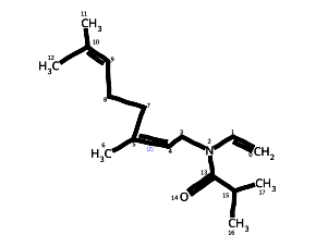 C=CN(C/C=C(/C)CCC=C(C)C)C(=O)C(C)C